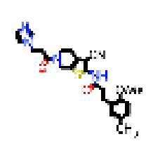 COc1ccc(C)cc1CCC(=O)Nc1sc2c(c1C#N)CCN(C(=O)CCn1ccnc1)C2